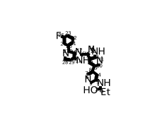 CCC(O)Nc1cncc(-c2cnc3[nH]nc(-c4nc5c(-c6cccc(F)c6)nccc5[nH]4)c3c2)c1